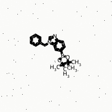 CC1(C)OB(c2ccc3ncn(Cc4ccccc4)c3c2)OC1(C)C